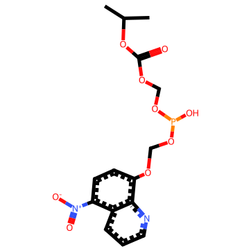 CC(C)OC(=O)OCOP(O)OCOc1ccc([N+](=O)[O-])c2cccnc12